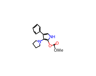 COC(=O)Oc1[nH]cc(-c2ccccc2)c1N1CCCC1